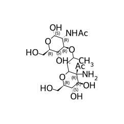 CC(=O)N[C@@H]1[C@@H](OC(C)[CH]C2O[C@H](CO)[C@@H](O)[C@H](O)[C@]2(N)C(C)=O)[C@H](O)[C@@H](CO)O[C@@H]1O